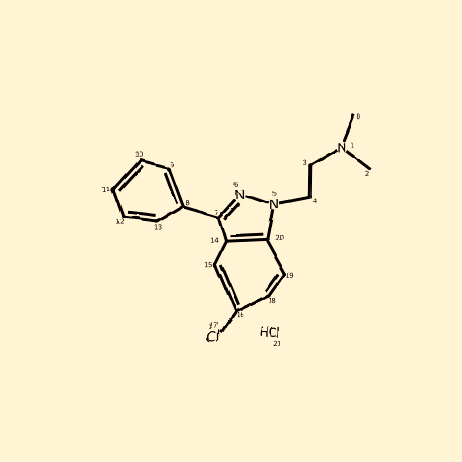 CN(C)CCn1nc(-c2ccccc2)c2cc(Cl)ccc21.Cl